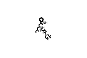 CCCCC(Cc1c[nH]c2ccccc12)NC(=O)c1cnc(N2CCN(C)C(C)(C)C2)s1